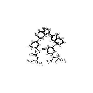 CN(C)CC(=O)Nc1cncc(-c2cc3c(-c4cc5c(-c6cc(F)cc(C(N)S(C)(=O)=O)c6)cccc5[nH]4)n[nH]c3cn2)c1